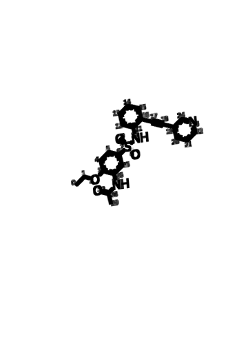 CCOc1ccc(S(=O)(=O)Nc2ccccc2C#Cc2cccnc2)cc1NC(C)=O